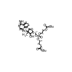 CC(C)(C)C(=O)SCCOP(=O)(OCCSC(=O)C(C)(C)C)OC[C@H]1O[C@@H](c2scc3c(N)ncnc23)[C@](C)(O)[C@@H]1O